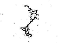 C=C/C(=C\C=C\O)C[C@H](NC(=O)CNCO)C(=O)N[C@@H](CCC)C(=O)N[C@](C)(C=O)CCCC=CCCC=CC(C)(C)NC(=O)[C@H](Cc1c[nH]c2ncccc12)NC(=O)C[C@@H](C)O